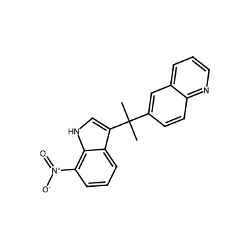 CC(C)(c1ccc2ncccc2c1)c1c[nH]c2c([N+](=O)[O-])cccc12